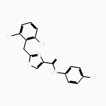 O=C(Nc1ccc(C(F)(F)F)cc1)c1coc(Cc2c(Cl)cccc2Cl)n1